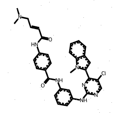 CN(C)C/C=C/C(=O)Nc1ccc(C(=O)Nc2cccc(Nc3ncc(Cl)c(-c4cc5ccccc5n4C)n3)c2)cc1